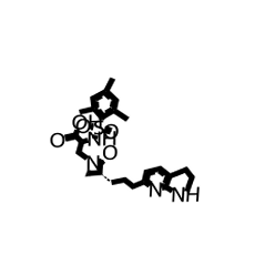 Cc1cc(C)c(S(=O)(=O)NC(CN2C[C@@H](CCCc3ccc4c(n3)NCCC4)C2=O)C(=O)O)c(C)c1